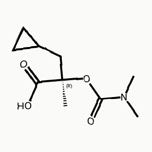 CN(C)C(=O)O[C@](C)(CC1CC1)C(=O)O